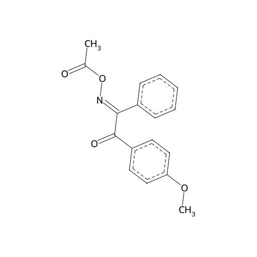 COc1ccc(C(=O)/C(=N/OC(C)=O)c2ccccc2)cc1